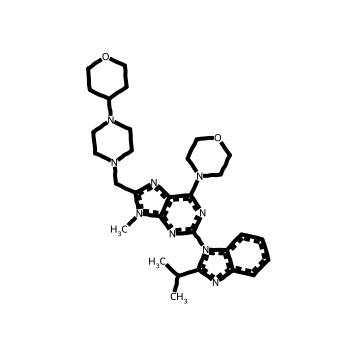 CC(C)c1nc2ccccc2n1-c1nc(N2CCOCC2)c2nc(CN3CCN(C4CCOCC4)CC3)n(C)c2n1